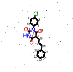 O=C1NC(=O)N(c2ccc(Cl)cc2)C(=O)C1C/C=C/c1ccccc1